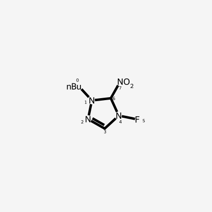 CCCCN1N=CN(F)C1[N+](=O)[O-]